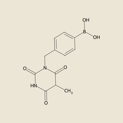 CC1C(=O)NC(=O)N(Cc2ccc(B(O)O)cc2)C1=O